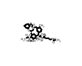 CC[C@@H]1CN(Cc2cc([C@@H](c3ccc4c(c3C)NNN4CC)C(C)(C)NC(=O)CCCNC(C)=O)ccc2C)S(=O)(=O)c2ccccc2O1